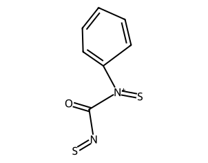 O=C(N=S)[N+](=S)c1ccccc1